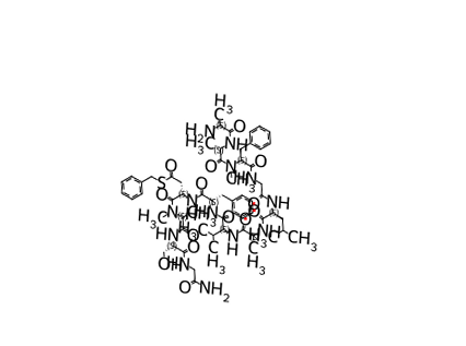 CC(C)C[C@H](NC(=O)CNC(=O)[C@H](Cc1ccccc1)N(C)C(=O)[C@H](C)NC(=O)[C@H](C)N)C(=O)N[C@@H](C)C(=O)N[C@H](C(=O)N[C@@H](Cc1ccccc1)C(=O)N[C@@H](CC(=O)SCc1ccccc1)C(=O)N(C)[C@@H](C)C(=O)N[C@@H](CO)C(=O)NCC(N)=O)C(C)C